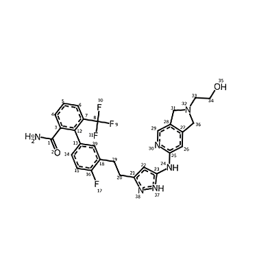 NC(=O)c1cccc(C(F)(F)F)c1-c1ccc(F)c(CCc2cc(Nc3cc4c(cn3)CN(CCO)C4)[nH]n2)c1